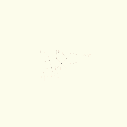 CCCCCOC([SiH3])(OCC)C(C)(OCC)C(N)C(C)(OCC)C([SiH3])(OCC)OCCCCC